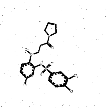 O=C(CC[S+]([O-])c1ccc(Cl)cc1NS(=O)(=O)c1ccc(Cl)c(C(F)(F)F)c1)N1CCCC1